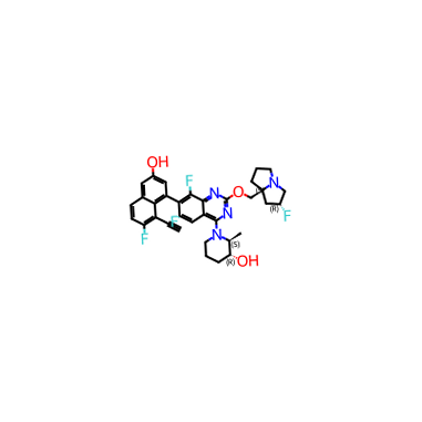 C#Cc1c(F)ccc2cc(O)cc(-c3c(F)cc4c(N5CCC[C@@H](O)[C@@H]5C)nc(OC[C@@]56CCCN5C[C@H](F)C6)nc4c3F)c12